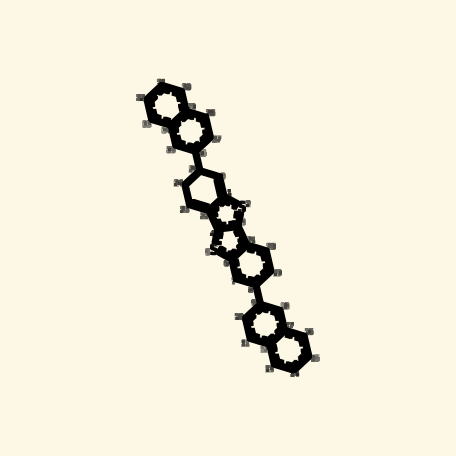 C1=c2sc3c(sc4cc(-c5ccc6ccccc6c5)ccc43)c2=CCC1c1ccc2ccccc2c1